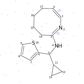 C1=C\N=C(\NC(c2cccs2)C2CC2)CCCC/1